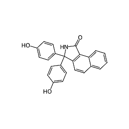 O=C1NC(c2ccc(O)cc2)(c2ccc(O)cc2)c2ccc3ccccc3c21